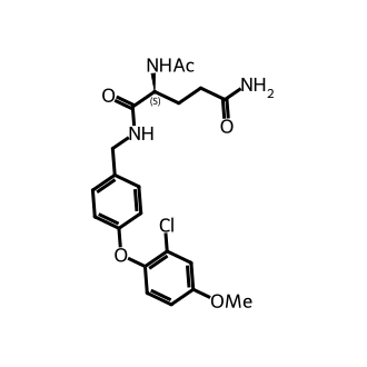 COc1ccc(Oc2ccc(CNC(=O)[C@H](CCC(N)=O)NC(C)=O)cc2)c(Cl)c1